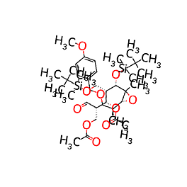 COc1ccc(COC[C@H](C)[C@H]2OC2(C)[C@@H](O[Si](C)(C)C(C)(C)C)[C@@H](CO[Si](C)(C)C(C)(C)C)[C@H](OC(C)=O)[C@@H](C=O)COC(C)=O)cc1